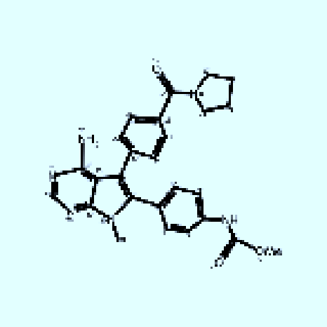 COC(=O)Nc1ccc(-c2c(-c3ccc(C(=O)N4CCCC4)cc3)c3c(N)ncnc3n2C)cc1